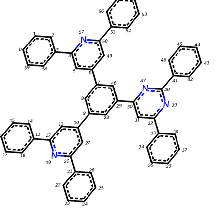 c1ccc(-c2cc(-c3cc(-c4cc(-c5ccccc5)nc(-c5ccccc5)c4)cc(-c4cc(-c5ccccc5)nc(-c5ccccc5)n4)c3)cc(-c3ccccc3)n2)cc1